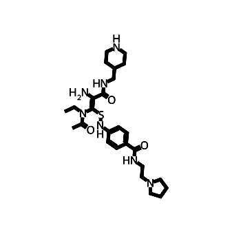 CCN(C(C)=O)/C(SNc1ccc(C(=O)NCCN2CCCC2)cc1)=C(\N)C(=O)NCC1CCNCC1